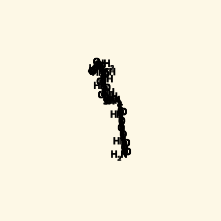 NC(=O)COCC(=O)NCCOCCOCCOCCNC(=O)CSC=CC1CC1NCC(=O)N[C@@H](CS)C(=O)NCC(=O)NCC(=O)NCC(=O)N[C@@H](CS)C(=O)N[C@@H](Cc1ccccc1)C(N)=O